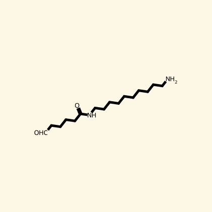 NCCCCCCCCCCNC(=O)CCCCC=O